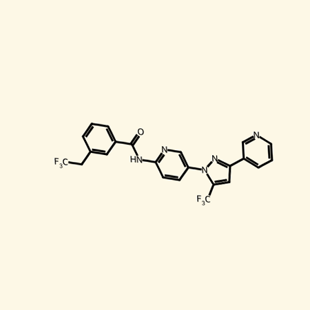 O=C(Nc1ccc(-n2nc(-c3cccnc3)cc2C(F)(F)F)cn1)c1cccc(CC(F)(F)F)c1